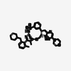 Cc1cccc(CC2CCCCC2)c1-c1nc2nc(c1C)OC[C@@H](CC(C)(C)C)C(Cc1ccc(N3CCOCC3)cn1)c1cccc(c1)S(=O)(=O)N2